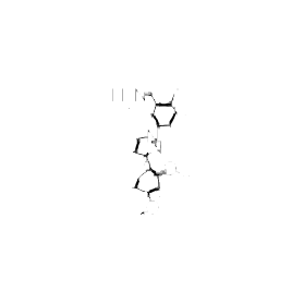 COc1ccc(-c2ccn(-c3ccc(C)c(CN)c3)n2)c(OC)c1